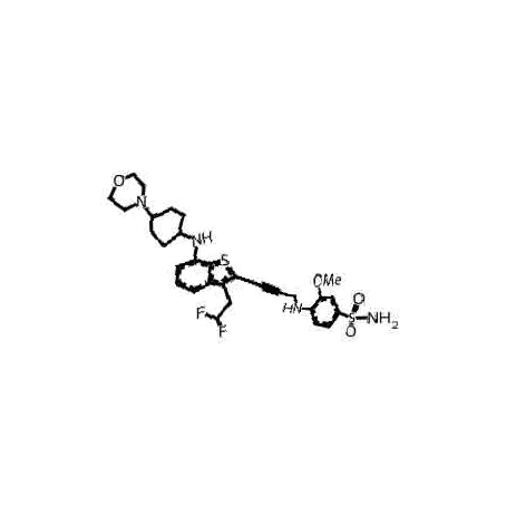 COc1cc(S(N)(=O)=O)ccc1NCC#Cc1sc2c(NC3CCC(N4CCOCC4)CC3)cccc2c1CC(F)F